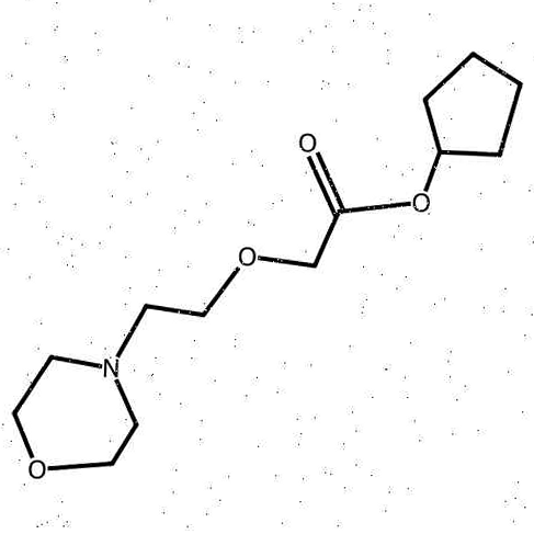 O=C(COCCN1CCOCC1)OC1CCCC1